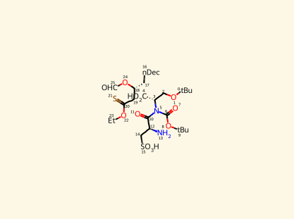 CC(C)(C)OC[C@@H](C(=O)O)N(C(=O)OC(C)(C)C)C(=O)[C@@H](N)CS(=O)(=O)O.CCCCCCCCCCC[C@H](CC(=S)OCC)OC=O